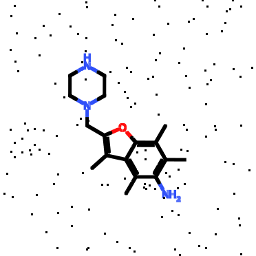 Cc1c(N)c(C)c2c(C)c(CN3CCNCC3)oc2c1C